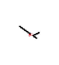 CCCCCCCCCCCCC(=O)OCC(CCCC)CCCCCC